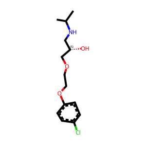 CC(C)NC[C@H](O)COCCOc1ccc(Cl)cc1